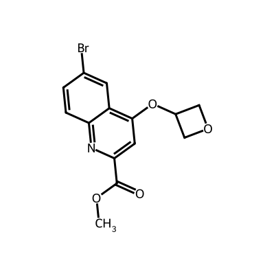 COC(=O)c1cc(OC2COC2)c2cc(Br)ccc2n1